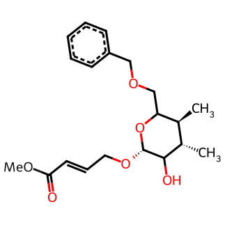 COC(=O)/C=C/CO[C@@H]1OC(COCc2ccccc2)[C@@H](C)[C@H](C)C1O